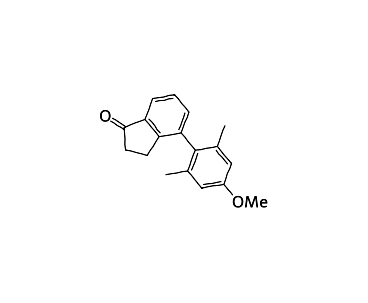 COc1cc(C)c(-c2cccc3c2CCC3=O)c(C)c1